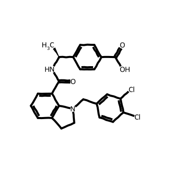 C[C@H](NC(=O)c1cccc2c1N(Cc1ccc(Cl)c(Cl)c1)CC2)c1ccc(C(=O)O)cc1